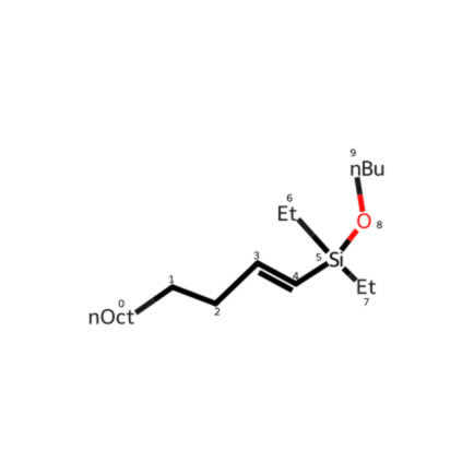 CCCCCCCCCCC=C[Si](CC)(CC)OCCCC